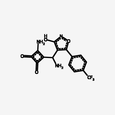 Nc1c(C(N)c2c(O)noc2-c2ccc(C(F)(F)F)cc2)c(=O)c1=O